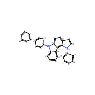 c1ccc(-c2ccc(-n3c4ccccc4c4c5c(ccc43)ccn5-c3ccccc3)cc2)cc1